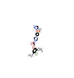 Cc1cc(OCC(=O)N2CCN(c3ccc(S(=O)(=O)Nc4ccncn4)cc3)CC2)cc(C)c1Cl